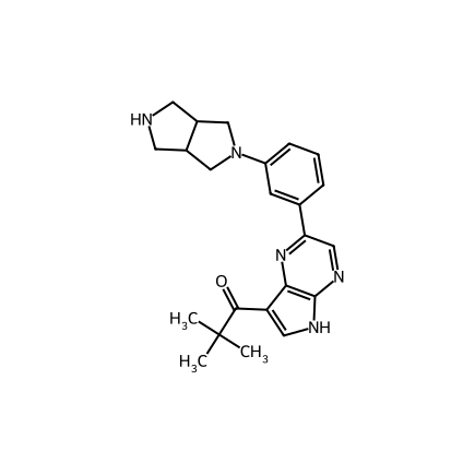 CC(C)(C)C(=O)c1c[nH]c2ncc(-c3cccc(N4CC5CNCC5C4)c3)nc12